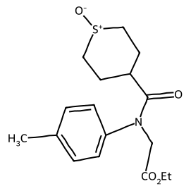 CCOC(=O)CN(C(=O)C1CC[S+]([O-])CC1)c1ccc(C)cc1